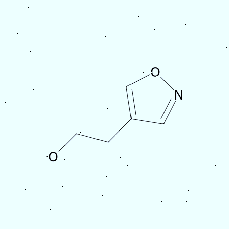 [O]CCc1cnoc1